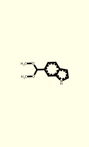 COC(OC)c1ccc2cc[nH]c2c1